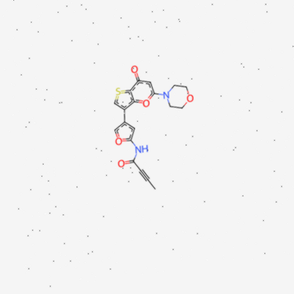 CC#CC(=O)Nc1cc(-c2csc3c(=O)cc(N4CCOCC4)oc23)co1